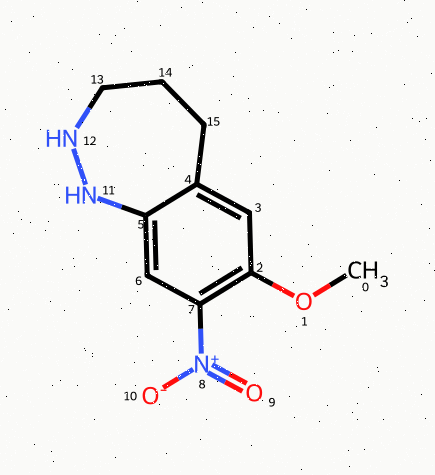 COc1cc2c(cc1[N+](=O)[O-])NNCCC2